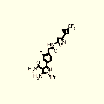 CC(C)n1nc(-c2ccc(CC(=O)Nc3cc(C45CC(C(F)(F)F)(C4)C5)no3)c(F)c2)c(C(N)=O)c1N